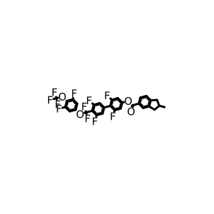 CC1Cc2ccc(C(=O)Oc3cc(F)c(-c4cc(F)c(C(F)(F)Oc5cc(F)c(OC(F)(F)F)c(F)c5)c(F)c4)c(F)c3)cc2C1